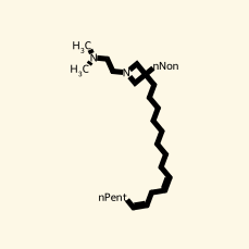 CCCCC/C=C\C/C=C\CCCCCCCCC1(CCCCCCCCC)CN(CCN(C)C)C1